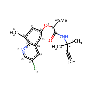 C#CC(C)(C)NC(=O)C(Oc1cc(C)c2ncc(Cl)cc2c1)SC